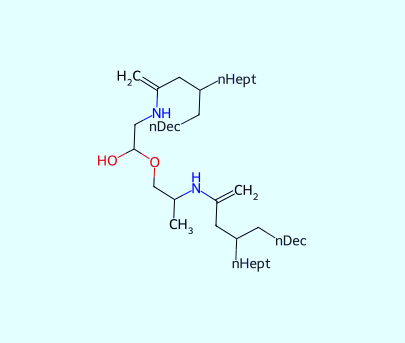 C=C(CC(CCCCCCC)CCCCCCCCCCC)NCC(O)OCC(C)NC(=C)CC(CCCCCCC)CCCCCCCCCCC